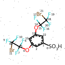 O=S(=O)(O)c1cc(OC(F)(F)C(F)(F)Br)cc(OC(F)(F)C(F)(F)Br)c1